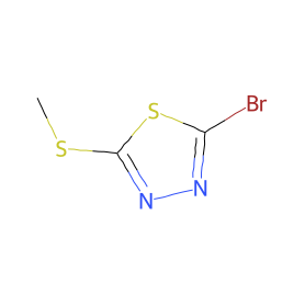 CSc1nnc(Br)s1